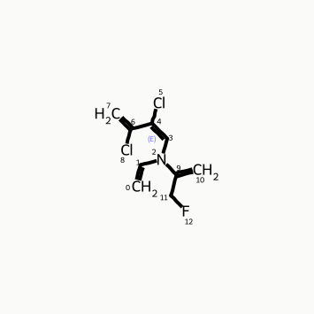 C=CN(/C=C(/Cl)C(=C)Cl)C(=C)CF